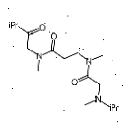 CC(C)C(=O)CN(C)C(=O)CCN(C)C(=O)CN(C)C(C)C